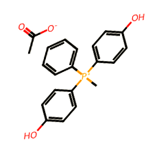 CC(=O)[O-].C[P+](c1ccccc1)(c1ccc(O)cc1)c1ccc(O)cc1